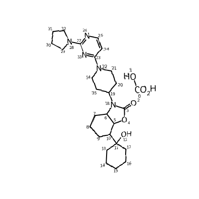 O=C(O)O.O=C1OC2C(CCCC2C2(O)CCCCC2)N1C1CCN(c2ccnc(N3CCCC3)n2)CC1